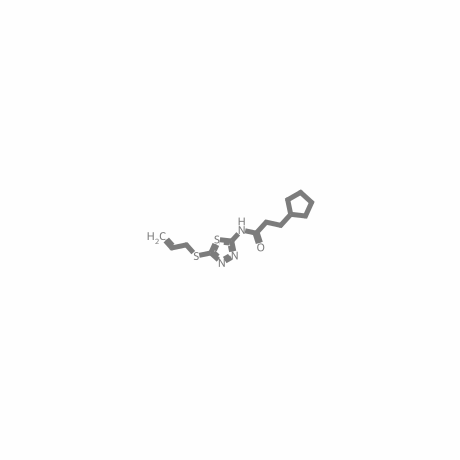 C=CCSc1nnc(NC(=O)CCC2CCCC2)s1